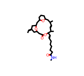 C/C=C1\CC2CC(=O)OC(/C=C/CCCCCC(=O)NC)C(C)/C=C/C(C)CC3CCCC(CC(C1)O2)O3